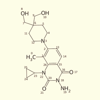 Cc1c(N2CCC(CO)(CO)CC2)ccc2c(=O)n(N)c(=O)n(C3CC3)c12